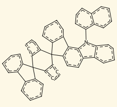 c1ccc2c(c1)-c1ccccc1C21c2ccccc2C2(c3ccccc3-c3c2ccc2c4ccccc4n(-c4cccc5ccccc45)c32)c2ccccc21